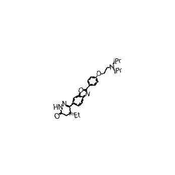 CC[C@@H]1CC(=O)NN=C1c1ccc2nc(-c3ccc(OCCN(C(C)C)C(C)C)cc3)oc2c1